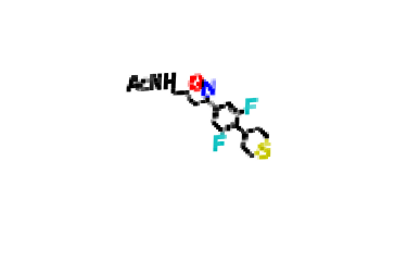 CC(=O)NCC1CC(c2cc(F)c(C3=CCSCC3)c(F)c2)=NO1